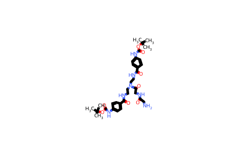 CC(C)(C)OC(=O)Nc1ccc(C(=O)NCCN(CCNC(=O)c2ccc(NC(=O)OC(C)(C)C)cc2)C(=O)CNC(=O)CN)cc1